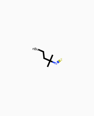 CCCCCCC(C)(C)N=S